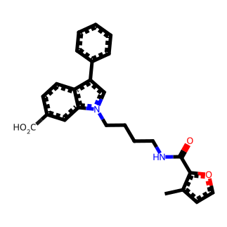 Cc1ccoc1C(=O)NCCCCn1cc(-c2ccccc2)c2ccc(C(=O)O)cc21